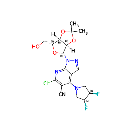 CC1(C)O[C@@H]2[C@H](O1)[C@@H](CO)O[C@H]2n1ncc2c(N3C[C@@H](F)[C@@H](F)C3)c(C#N)c(Cl)nc21